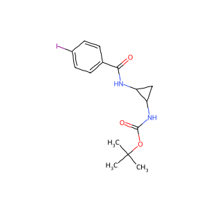 CC(C)(C)OC(=O)NC1CC1NC(=O)c1ccc(I)cc1